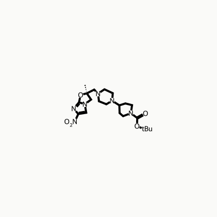 CC(C)(C)OC(=O)N1CCC(N2CCN(C[C@@]3(C)Cn4cc([N+](=O)[O-])nc4O3)CC2)CC1